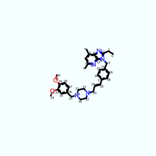 CCc1nc2c(C)cc(C)nc2n1Cc1ccc(C=CCN2CCN(Cc3ccc(OC)c(OC)c3)CC2)cc1